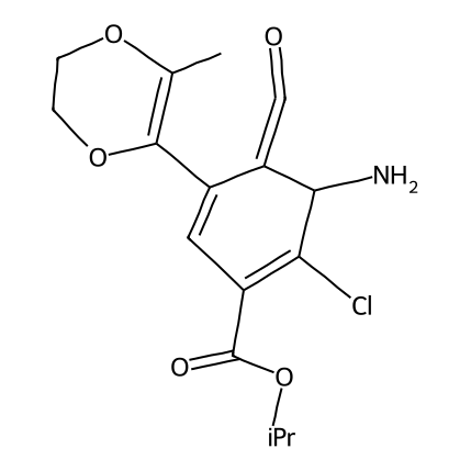 CC1=C(C2=CC(C(=O)OC(C)C)=C(Cl)C(N)C2=C=O)OCCO1